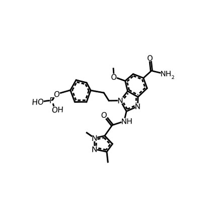 COc1cc(C(N)=O)cc2nc(NC(=O)c3cc(C)nn3C)n(CCc3ccc(OP(O)O)cc3)c12